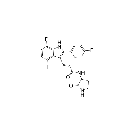 O=C(/C=C/c1c(-c2ccc(F)cc2)[nH]c2c(F)ccc(F)c12)NC1CCNC1=O